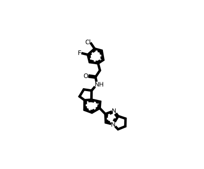 O=C(Cc1ccc(Cl)c(F)c1)NC1CCc2ccc(-c3cn4c(n3)CCC4)cc21